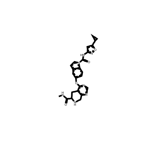 CNC(=O)C1Cc2c(ncnc2Oc2ccc3c(ccn3C(=O)Nc3cc(C4CC4)on3)c2)CN1